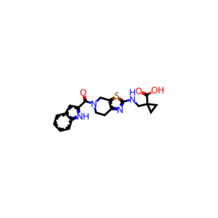 O=C(c1cc2ccccc2[nH]1)N1CCc2nc(NCC3(C(=O)O)CC3)sc2C1